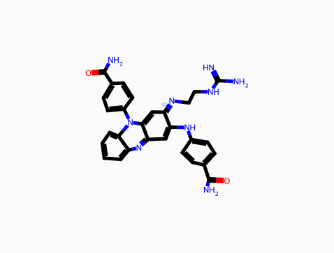 N=C(N)NCC/N=c1/cc2n(-c3ccc(C(N)=O)cc3)c3ccccc3nc-2cc1Nc1ccc(C(N)=O)cc1